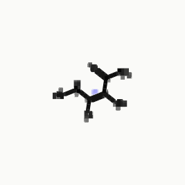 CCCC/C(C(N)=O)=C(\CC)NCCC